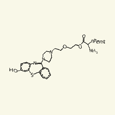 CCCCCC(N)C(=O)OCCOCCN1CCN(C2=Nc3ccc(O)cc3Sc3ccccc32)CC1